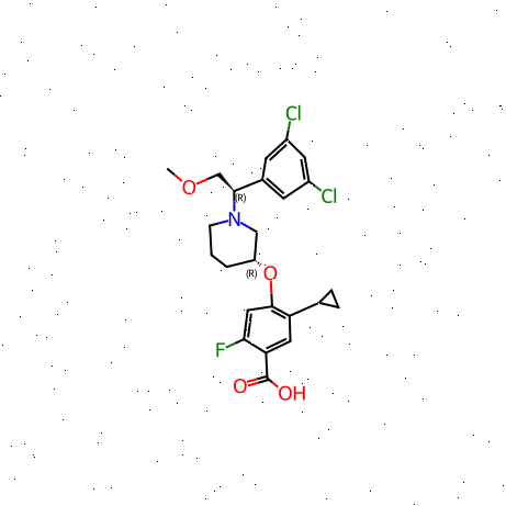 COC[C@@H](c1cc(Cl)cc(Cl)c1)N1CCC[C@@H](Oc2cc(F)c(C(=O)O)cc2C2CC2)C1